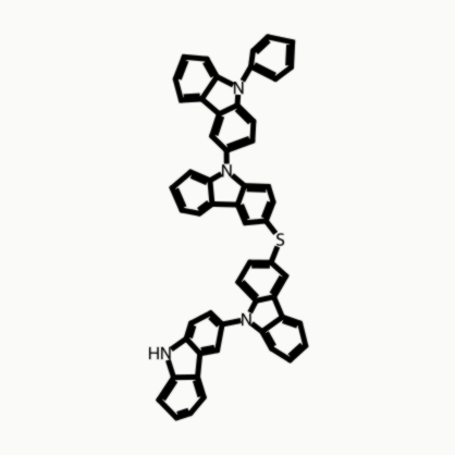 c1ccc(-n2c3ccccc3c3cc(-n4c5ccccc5c5cc(Sc6ccc7c(c6)c6ccccc6n7-c6ccc7[nH]c8ccccc8c7c6)ccc54)ccc32)cc1